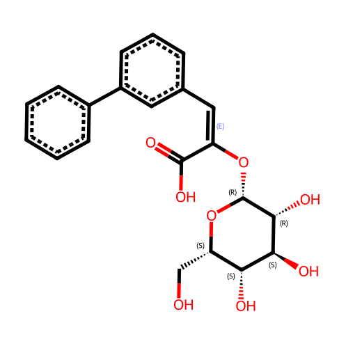 O=C(O)/C(=C\c1cccc(-c2ccccc2)c1)O[C@H]1O[C@@H](CO)[C@@H](O)[C@H](O)[C@H]1O